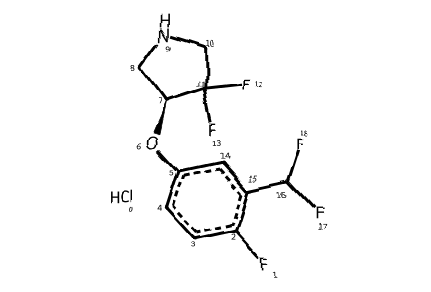 Cl.Fc1ccc(O[C@H]2CNCC2(F)F)cc1C(F)F